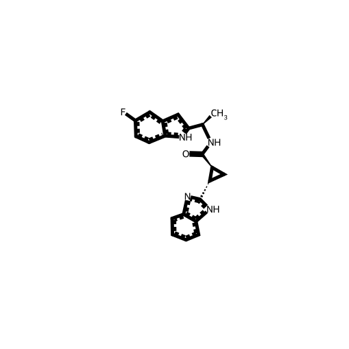 C[C@@H](NC(=O)[C@H]1C[C@@H]1c1nc2ccccc2[nH]1)c1cc2cc(F)ccc2[nH]1